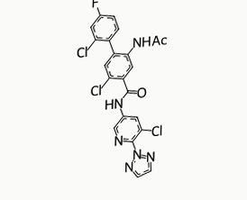 CC(=O)Nc1cc(C(=O)Nc2cnc(-n3nccn3)c(Cl)c2)c(Cl)cc1-c1ccc(F)cc1Cl